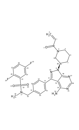 C=CC(=O)N1CCC[C@@H](n2nc(-c3ccc(CN(C)S(=O)(=O)c4cc(F)ccc4F)cc3)c3c(N)ncnc32)C1